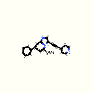 COc1cc(-c2ccccc2)cc2ncc(C#Cc3ccncc3)n12